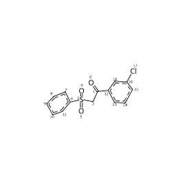 O=C(CS(=O)(=O)c1ccccc1)c1cccc(Cl)c1